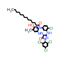 CCCCCCCCCCCCCC(=O)Nc1ccc(Cl)c(NC2=NN(c3c(Cl)cc(Cl)cc3Cl)C(=O)C2N=Nc2ccc(O)c(C)c2)c1